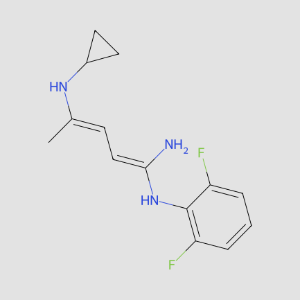 C/C(=C\C=C(/N)Nc1c(F)cccc1F)NC1CC1